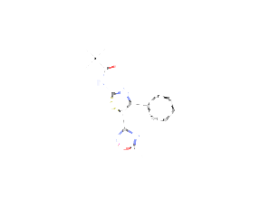 Cc1nc(-c2sc(NC(=O)C(C)(C)C)nc2-c2ccccc2)no1